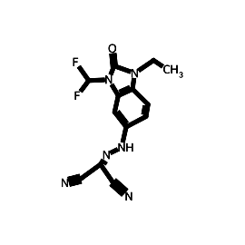 CCn1c(=O)n(C(F)F)c2cc(NN=C(C#N)C#N)ccc21